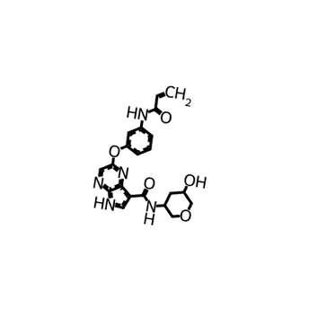 C=CC(=O)Nc1cccc(Oc2cnc3[nH]cc(C(=O)NC4COCC(O)C4)c3n2)c1